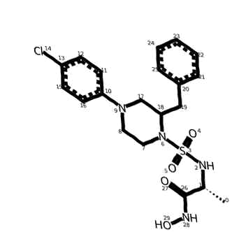 C[C@@H](NS(=O)(=O)N1CCN(c2ccc(Cl)cc2)CC1Cc1ccccc1)C(=O)NO